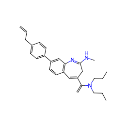 C=CCc1ccc(-c2ccc3c(c2)N=C(NC)CC(C(=C)N(CCC)CCC)=C3)cc1